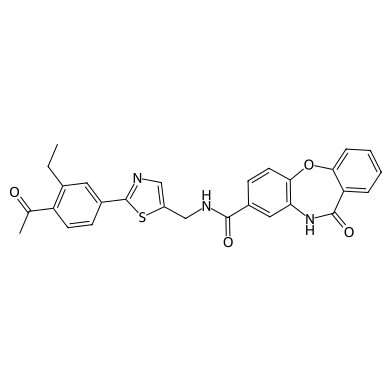 CCc1cc(-c2ncc(CNC(=O)c3ccc4c(c3)NC(=O)c3ccccc3O4)s2)ccc1C(C)=O